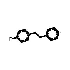 Fc1ccc(CCc2cc[c]cc2)cc1